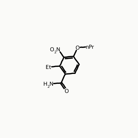 CCCOc1ccc(C(N)=O)c(CC)c1[N+](=O)[O-]